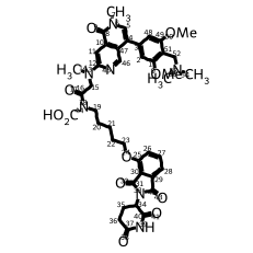 COc1cc(-c2cn(C)c(=O)c3cc(N(C)CC(=O)N(CCCCCOc4cccc5c4C(=O)N(C4CCC(=O)NC4=O)C5=O)C(=O)O)ncc23)cc(OC)c1CN(C)C